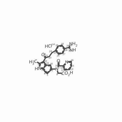 Cc1[nH]c2ccc(N(CC(=O)O)C(=O)c3ccccn3)cc2c1C(=O)CCc1ccc(C(=N)N)cc1.Cl